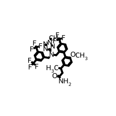 COc1ccc(C(C)CC(N)=O)cc1-c1ccc(C(F)(F)F)cc1CN(Cc1cc(C(F)(F)F)cc(C(F)(F)F)c1)c1nnn(C)n1